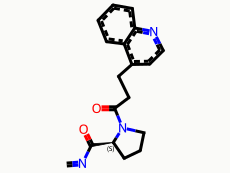 C=NC(=O)[C@@H]1CCCN1C(=O)CCc1ccnc2ccccc12